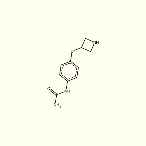 NC(=O)Nc1ccc(OC2CNC2)cc1